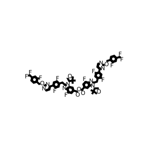 CC1(C)COCC1n1c(Cc2cc(F)c(-c3ccnc(OCc4ccc(C(F)F)cc4F)n3)cc2F)nc2c(F)cc(C(=O)OC(=O)c3cc(F)c4nc(Cc5cc(F)c(-c6ccnc(OCc7ccc(C(F)F)cc7F)n6)cc5F)n(C5COCC5(C)C)c4c3)cc21